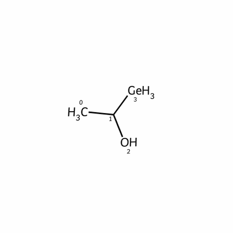 C[CH](O)[GeH3]